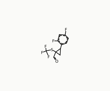 O=CC1(SC(F)(F)F)CC1c1ccc(F)cc1F